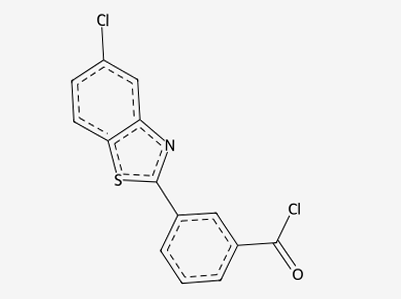 O=C(Cl)c1cccc(-c2nc3cc(Cl)ccc3s2)c1